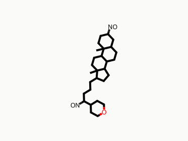 CC12CCC3C(CCC4CC(N=O)CCC43C)C1CCC2CCCC(N=O)C1CCOCC1